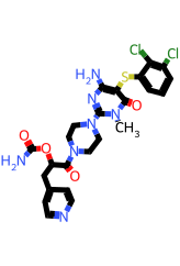 Cn1c(N2CCN(C(=O)C(Cc3ccncc3)OC(N)=O)CC2)nc(N)c(Sc2cccc(Cl)c2Cl)c1=O